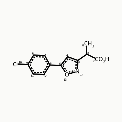 CC(C(=O)O)c1cc(-c2ccc(Cl)cc2)on1